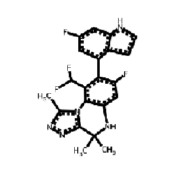 Cc1nnc2n1-c1c(cc(F)c(-c3cc(F)cc4[nH]ccc34)c1C(F)F)NC2(C)C